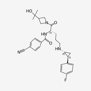 CC(C)(O)C1CN(C(=O)[C@H](CCCN[C@@H]2C[C@H]2c2ccc(F)cc2)NC(=O)c2ccc(C#N)cc2)C1